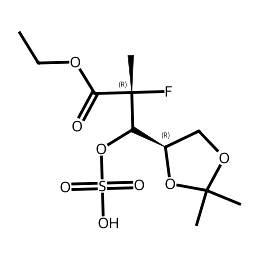 CCOC(=O)[C@](C)(F)C(OS(=O)(=O)O)[C@H]1COC(C)(C)O1